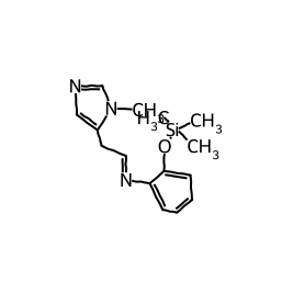 Cn1cncc1CC=Nc1ccccc1O[Si](C)(C)C